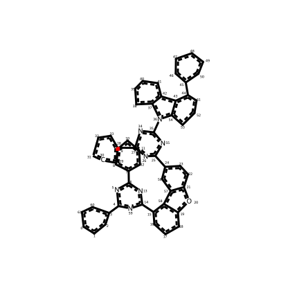 c1ccc(-c2nc(-c3ccccc3)nc(-c3cccc4oc5ccc(-c6nc(-c7ccccc7)nc(-n7c8ccccc8c8c(-c9ccccc9)cccc87)n6)cc5c34)n2)cc1